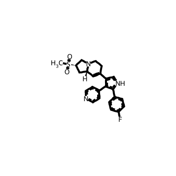 CS(=O)(=O)[C@H]1C[C@H]2C=C(c3c[nH]c(-c4ccc(F)cc4)c3-c3ccncc3)CCN2C1